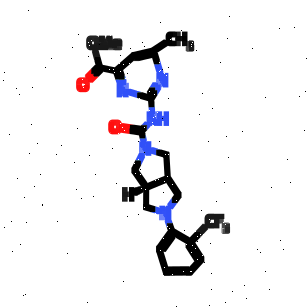 COC(=O)c1cc(C)nc(NC(=O)N2CC3CN(c4ccccc4C(F)(F)F)C[C@@H]3C2)n1